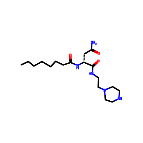 CCCCCCCC(=O)N[C@H](CC(N)=O)C(=O)NCCN1CCNCC1